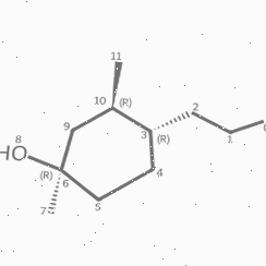 CCC[C@@H]1CC[C@@](C)(O)C[C@H]1C